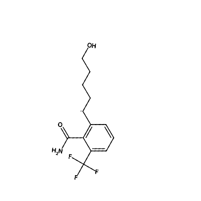 NC(=O)c1c([CH]CCCCO)cccc1C(F)(F)F